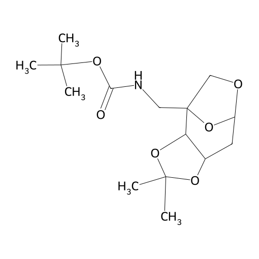 CC(C)(C)OC(=O)NCC12COC(CC3OC(C)(C)OC31)O2